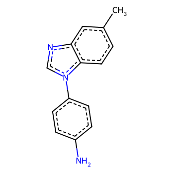 Cc1ccc2c(c1)ncn2-c1ccc(N)cc1